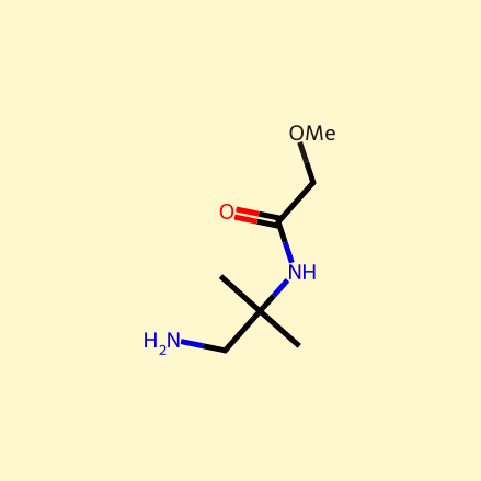 COCC(=O)NC(C)(C)CN